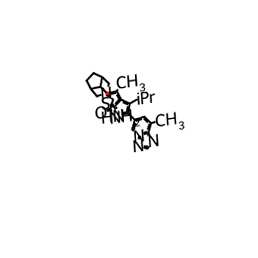 Cc1c(C2C3CCC2CN(CC(N)=O)C3)sc2[nH]c(-c3cc(C)c4ncnn4c3)c(C(C)C)c12